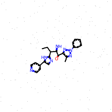 CCC(C(=N)C(=O)c1nn(-c2ccccc2)nc1C)c1ncc(-c2ccncc2)[nH]1